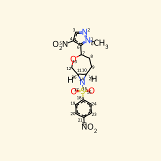 Cn1ncc([N+](=O)[O-])c1C1CC[C@@H]2[C@H](CO1)N2S(=O)(=O)c1ccc([N+](=O)[O-])cc1